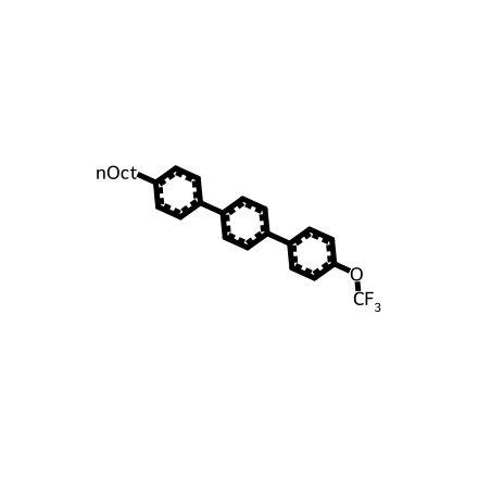 CCCCCCCCc1ccc(-c2ccc(-c3ccc(OC(F)(F)F)cc3)cc2)cc1